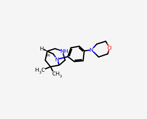 CC1(C)C[C@@H]2CNCC1N(c1ccc(N3CCOCC3)cc1)C2